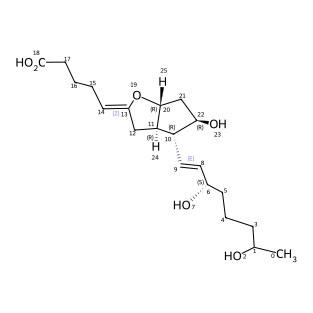 CC(O)CCC[C@H](O)/C=C/[C@@H]1[C@H]2C/C(=C/CCCC(=O)O)O[C@@H]2C[C@H]1O